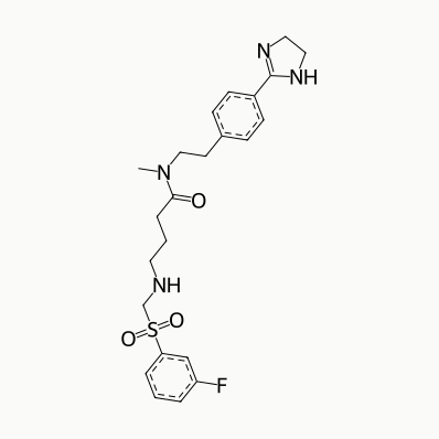 CN(CCc1ccc(C2=NCCN2)cc1)C(=O)CCCNCS(=O)(=O)c1cccc(F)c1